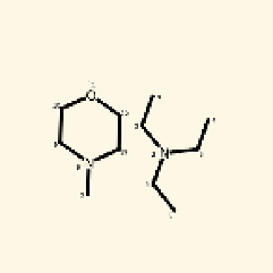 CCN(CC)CC.CN1CCOCC1